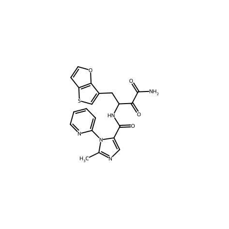 Cc1ncc(C(=O)NC(Cc2csc3ccoc23)C(=O)C(N)=O)n1-c1ccccn1